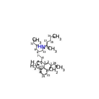 C=C(/C=C(/C(=C)CC[C@H](CCCC)CN/C(C)=C/CCC)c1ccccc1C)CC